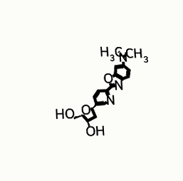 CN(C)c1ccc2nc(-c3ccc([C@H]4C[C@@H](O)[C@@H](CO)O4)cn3)oc2c1